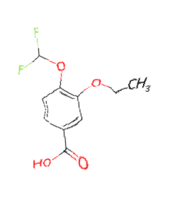 CCOc1cc(C(=O)O)ccc1OC(F)F